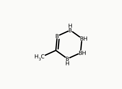 CC1=BBBBB1